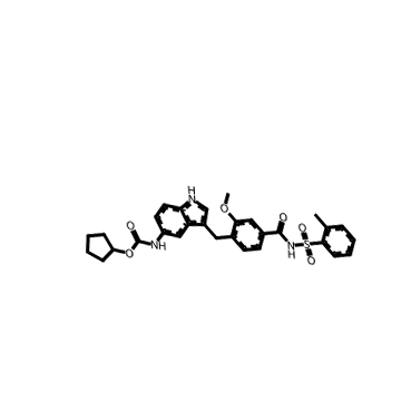 COc1cc(C(=O)NS(=O)(=O)c2ccccc2C)ccc1Cc1c[nH]c2ccc(NC(=O)OC3CCCC3)cc12